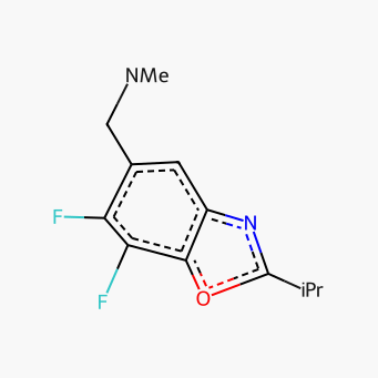 CNCc1cc2nc(C(C)C)oc2c(F)c1F